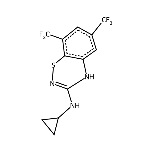 FC(F)(F)c1cc2c(c(C(F)(F)F)c1)SN=C(NC1CC1)N2